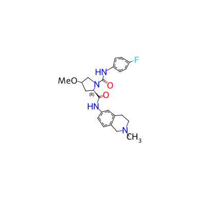 COC1C[C@H](C(=O)Nc2ccc3c(c2)CCN(C)C3)N(C(=O)Nc2ccc(F)cc2)C1